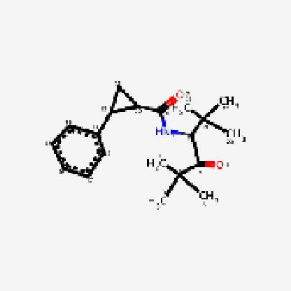 CC(C)(C)C(=O)[C@@H](NC(=O)[C@@H]1CC1c1ccccc1)C(C)(C)C